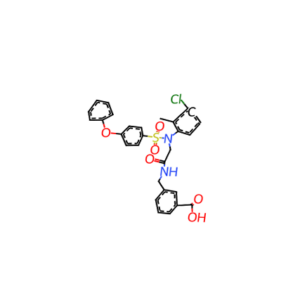 Cc1c(Cl)cccc1N(CC(=O)NCc1cccc(C(=O)O)c1)S(=O)(=O)c1ccc(Oc2ccccc2)cc1